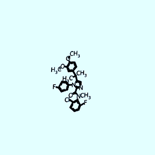 COc1ccc(C(C)(C)c2cnc(C(=O)N(C)c3c(F)cccc3Cl)n2-c2ccc(F)cc2)cc1OC